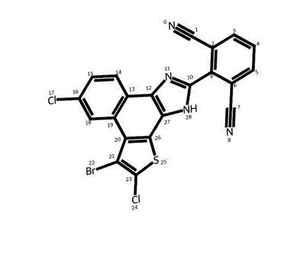 N#Cc1cccc(C#N)c1-c1nc2c3ccc(Cl)cc3c3c(Br)c(Cl)sc3c2[nH]1